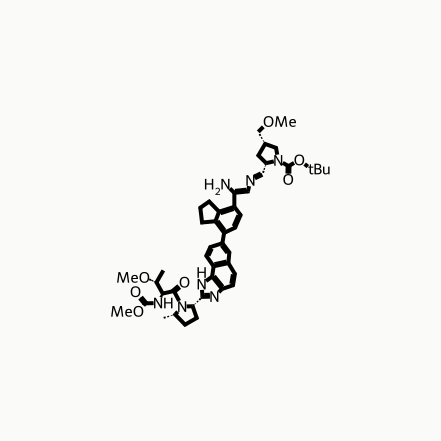 COC[C@H]1C[C@@H](/C=N/C=C(\N)c2ccc(-c3ccc4c(ccc5nc([C@@H]6CC[C@H](C)N6C(=O)[C@@H](NC(=O)OC)[C@@H](C)OC)[nH]c54)c3)c3c2CCC3)N(C(=O)OC(C)(C)C)C1